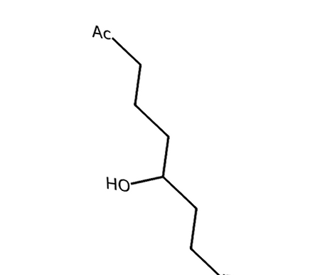 CC(=O)CCCC(O)CCC(C)C